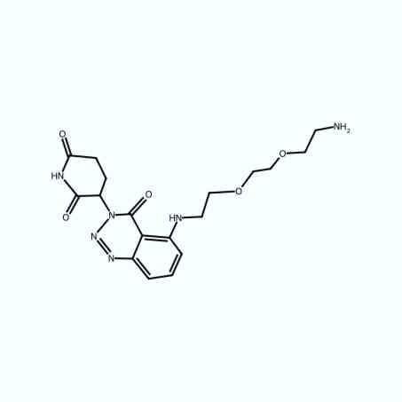 NCCOCCOCCNc1cccc2nnn(C3CCC(=O)NC3=O)c(=O)c12